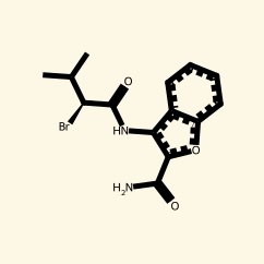 CC(C)[C@H](Br)C(=O)Nc1c(C(N)=O)oc2ccccc12